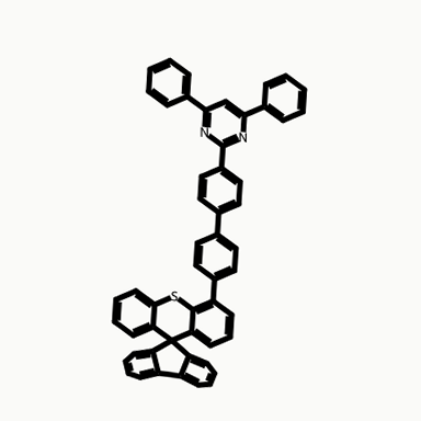 c1ccc(-c2cc(-c3ccccc3)nc(-c3ccc(-c4ccc(-c5cccc6c5Sc5ccccc5C65c6ccccc6-c6ccccc65)cc4)cc3)n2)cc1